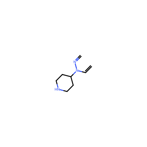 C=CN(N=C)C1CCNCC1